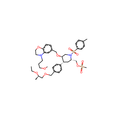 CCO[C@H](C)COCc1ccc([C@H]2C[C@@H](COS(C)(=O)=O)N(S(=O)(=O)c3ccc(C)cc3)C[C@@H]2OCc2ccc3c(c2)N(CCCOC)CCO3)cc1